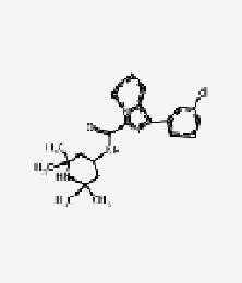 CC1(C)CC(NC(=O)c2nc(-c3cccc(Cl)c3)c3ccccn23)CC(C)(C)N1